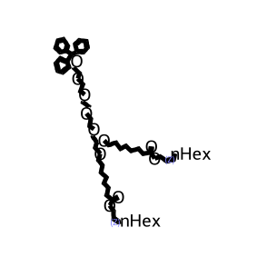 CCCCCC/C=C\COC(=O)CCCCCCCOCC(COCCOCCOCCOCCOC(c1ccccc1)(c1ccccc1)c1ccccc1)OCCCCCCCC(=O)OC/C=C\CCCCCC